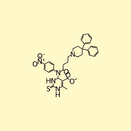 COC(=O)C1=C(C)NC(=S)NC1N(C(=O)CCCN1CCC(c2ccccc2)(c2ccccc2)CC1)c1ccc([N+](=O)[O-])cc1